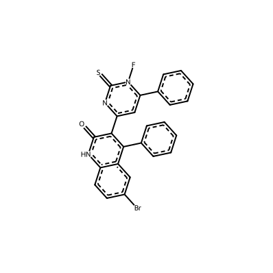 O=c1[nH]c2ccc(Br)cc2c(-c2ccccc2)c1-c1cc(-c2ccccc2)n(F)c(=S)n1